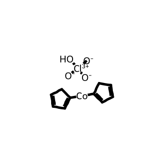 C1=CC[C]([Co][C]2=CC=CC2)=C1.[O-][Cl+3]([O-])([O-])O